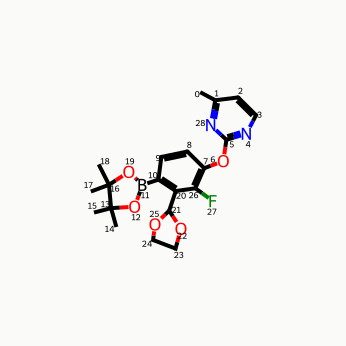 Cc1ccnc(Oc2ccc(B3OC(C)(C)C(C)(C)O3)c(C3OCCO3)c2F)n1